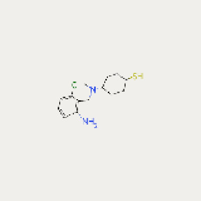 CN(Cc1c(N)cccc1Cl)[C@H]1CC[C@H](S)CC1